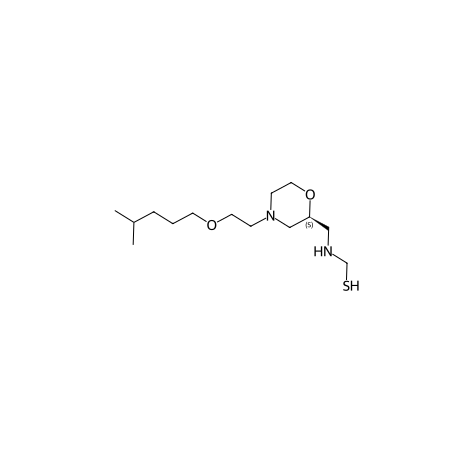 CC(C)CCCOCCN1CCO[C@@H](CNCS)C1